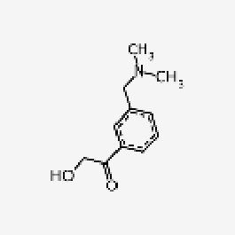 CN(C)Cc1cccc(C(=O)CO)c1